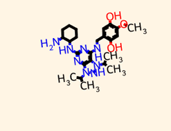 COc1cc(O)c(CNc2nc(NC3CCCCC3N)nc3c2N(C(C)C)NN3C(C)C)cc1O